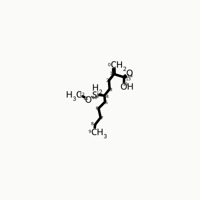 C=C(CCC(CCCCC)[SiH2]OC)C(=O)O